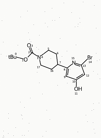 CC(C)(C)OC(=O)N1CCC(c2cc(O)cc(Br)n2)CC1